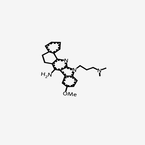 COc1ccc2c(c1)c1c(N)c3c(nc1n2CCCN(C)C)-c1ccccc1CC3